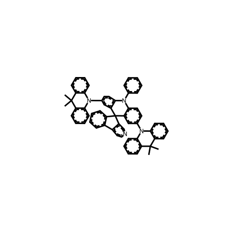 CC1(C)c2ccccc2N(c2ccc3c(c2)C2(c4ccccc4-c4ccncc42)c2cc(N4c5ccccc5C(C)(C)c5ccccc54)ccc2N3c2ccccc2)c2ccccc21